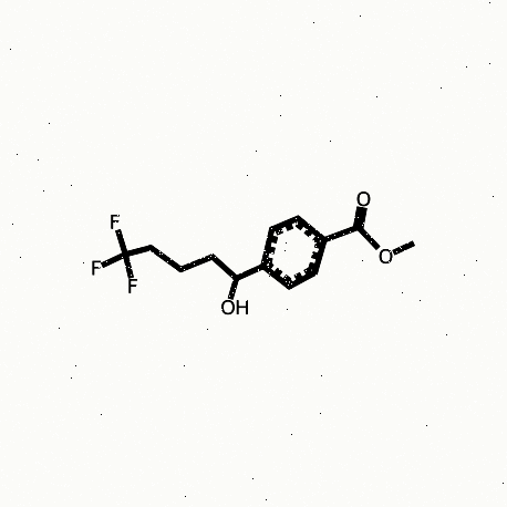 COC(=O)c1ccc(C(O)CCCC(F)(F)F)cc1